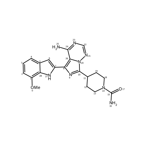 COc1cccc2cc(-c3nc(C4CCN(C(N)=O)CC4)n4ncnc(N)c34)[nH]c12